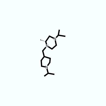 CC(C)N1CCC(CN2CCN(C(C)C)C[C@H]2C)CC1